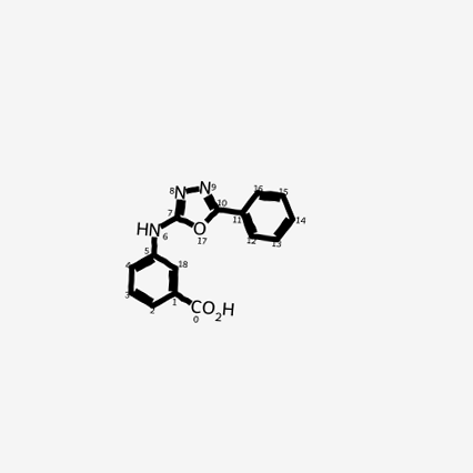 O=C(O)c1cccc(Nc2nnc(-c3ccccc3)o2)c1